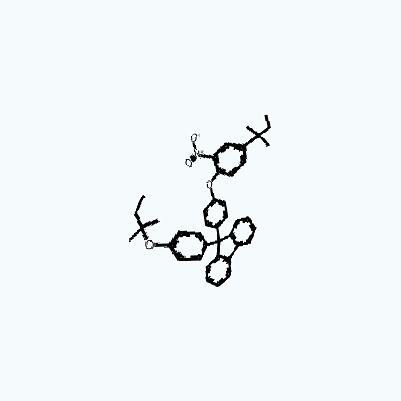 CCC(C)(C)Oc1ccc(C2(c3ccc(Oc4ccc(C(C)(C)CC)cc4[N+](=O)[O-])cc3)c3ccccc3-c3ccccc32)cc1